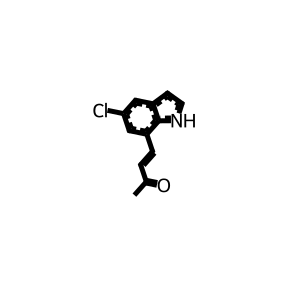 CC(=O)C=Cc1cc(Cl)cc2cc[nH]c12